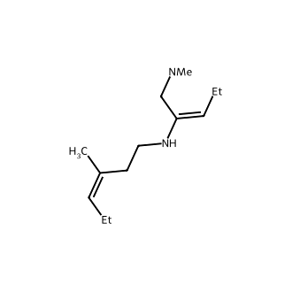 CC/C=C(/C)CCN/C(=C/CC)CNC